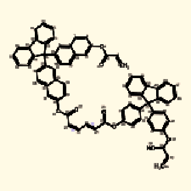 C=CC(=O)Oc1ccc2cc(C3(c4ccc5cc(OC(=O)/C=C\C=C\C(=O)Oc6ccc(C7(c8ccc(OC(O)C=C)cc8)c8ccccc8-c8ccccc87)cc6)ccc5c4)c4ccccc4-c4ccccc43)ccc2c1